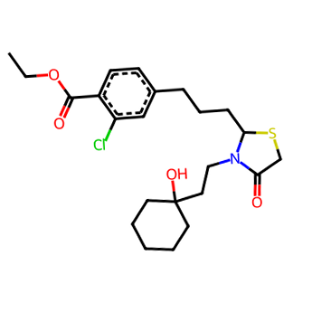 CCOC(=O)c1ccc(CCCC2SCC(=O)N2CCC2(O)CCCCC2)cc1Cl